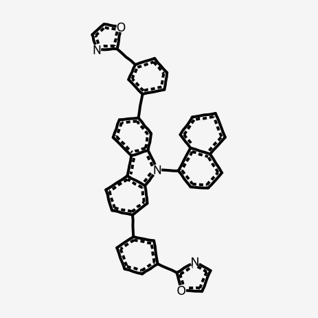 c1cc(-c2ccc3c4ccc(-c5cccc(-c6ncco6)c5)cc4n(-c4cccc5ccccc45)c3c2)cc(-c2ncco2)c1